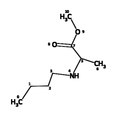 CCCCNC(C)C(=O)OC